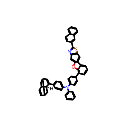 C1=CC2CC3C=C(c4ccc(N(c5ccccc5)c5ccc(-c6cccc7c6oc6cc8nc(-c9ccc%10ccccc%10c9)sc8cc67)cc5)cc4)[C@H]2CC13